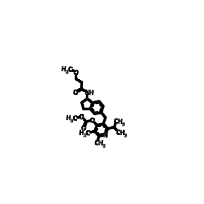 COCCC(=O)NC1CCc2cc(Cc3c(C(C)C)nc(C)c(C)c3OC(=O)OC)ccc21